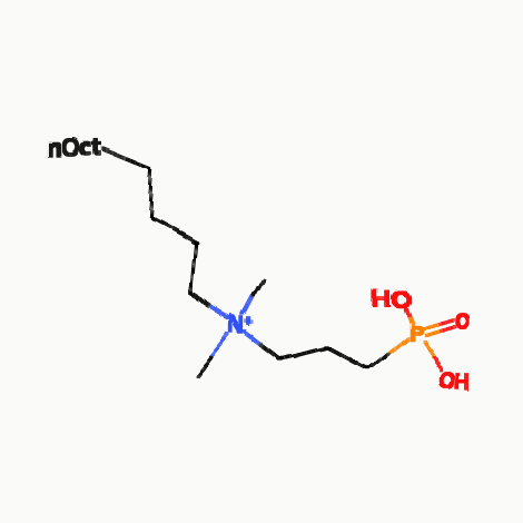 CCCCCCCCCCCC[N+](C)(C)CCCP(=O)(O)O